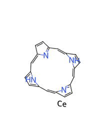 C1=Cc2cc3ccc(cc4nc(cc5ccc(cc1n2)[nH]5)C=C4)[nH]3.[Ce]